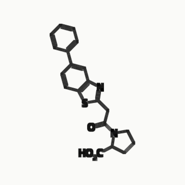 O=C(O)C1CCCN1C(=O)Cc1nc2cc(-c3ccccc3)ccc2s1